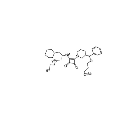 COCCCOC(c1ccccc1)[C@@H]1CCCN(c2c(N[C@H](CNCCC(C)C)CC3CCCCC3)c(=O)c2=O)C1